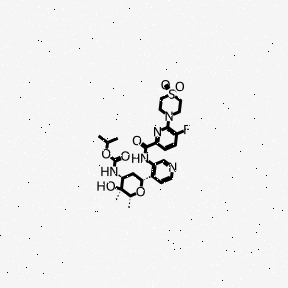 CC(C)OC(=O)N[C@@H]1C[C@H](c2ccncc2NC(=O)c2ccc(F)c(N3CCS(=O)(=O)CC3)n2)O[C@H](C)[C@@]1(C)O